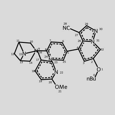 CCCCOc1cc(-c2ccc(N3CC4CC(C3)N4Cc3ccc(OC)nc3)nc2)c2c(C#N)cnn2c1